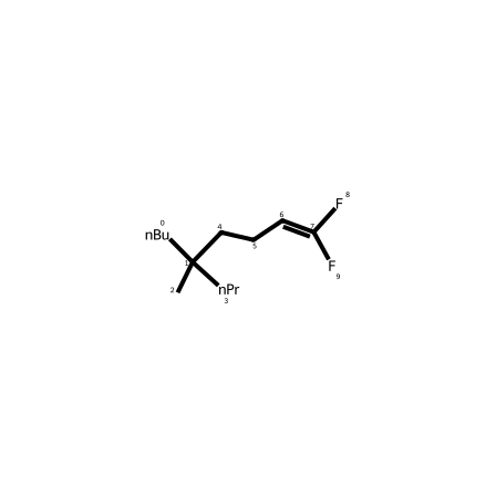 CCCCC(C)(CCC)CCC=C(F)F